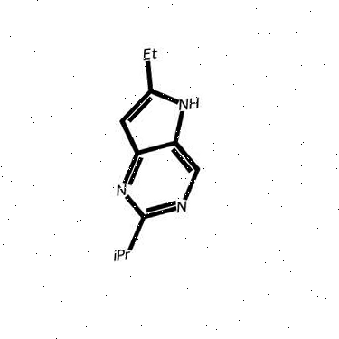 CCc1cc2nc(C(C)C)ncc2[nH]1